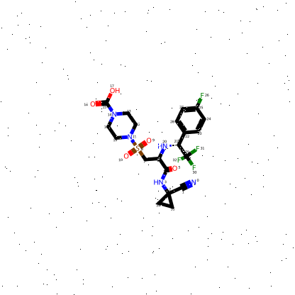 N#CC1(NC(=O)C(CS(=O)(=O)N2CCN(C(=O)O)CC2)N[C@H](c2ccc(F)cc2)C(F)(F)F)CC1